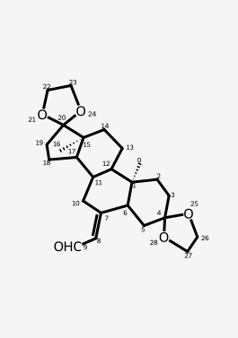 C[C@]12CCC3(CC1/C(=C/C=O)CC1C2CC[C@@]2(C)C1CCC21OCCO1)OCCO3